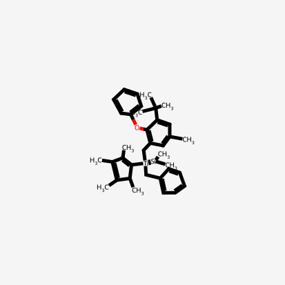 CC1=C(C)C(C)[C]([Ti]([CH2]c2ccccc2)([CH2]c2cc(C)cc(C(C)(C)C)c2Oc2ccccc2)=[Si](C)C)=C1C